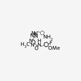 COc1cc(CNC(=O)c2cc(-c3nnn(C[C@H]4CC[C@@H](N)C4)n3)nc(C)n2)ccc1F